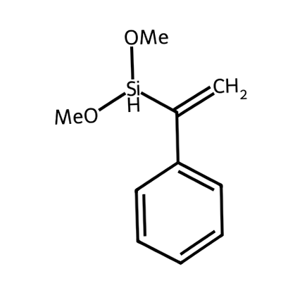 C=C(c1ccccc1)[SiH](OC)OC